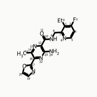 CCc1c(F)ccnc1CNC(=O)c1nc(C)c(-c2ncco2)nc1N